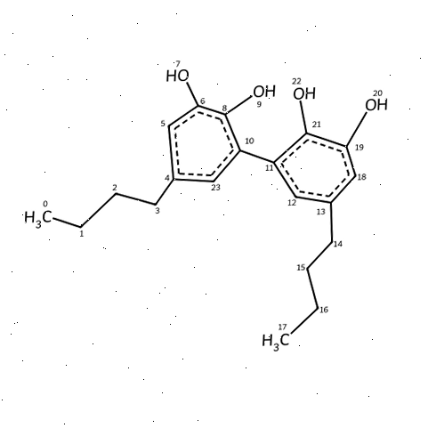 CCCCc1cc(O)c(O)c(-c2cc(CCCC)cc(O)c2O)c1